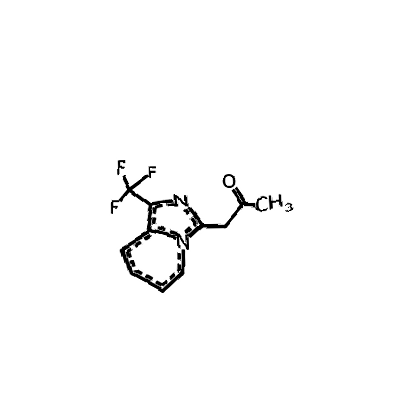 CC(=O)Cc1nc(C(F)(F)F)c2ccccn12